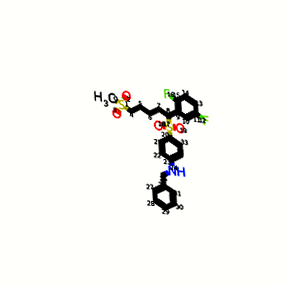 CS(=O)(=O)CCCCC(c1cc(F)ccc1F)S(=O)(=O)c1ccc(NCc2ccccc2)cc1